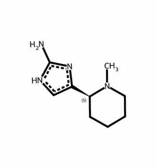 CN1CCCC[C@H]1c1c[nH]c(N)n1